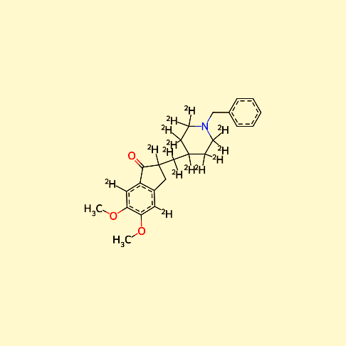 [2H]c1c2c(c([2H])c(OC)c1OC)C(=O)C([2H])(C([2H])([2H])C1([2H])C([2H])([2H])C([2H])([2H])N(Cc3ccccc3)C([2H])([2H])C1([2H])[2H])C2